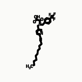 CCCCCCCCCCC#Cc1ccc(CN(Cc2ccc(C(F)(F)F)cc2)C(=O)C(=O)O)cn1